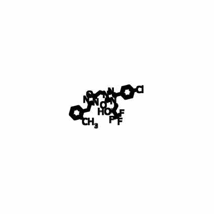 Cc1ccccc1Cc1noc(Cn2nc(-c3ccc(Cl)cc3)n(C[C@H](O)C(F)(F)F)c2=O)n1